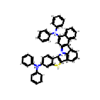 c1ccc(N(c2ccccc2)c2ccc3c(c2)sc2c4cccc5c6c7ccccc7c(N(c7ccccc7)c7ccccc7)cc6n(c45)c32)cc1